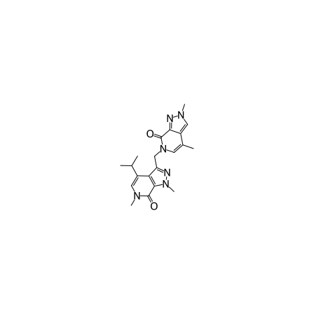 Cc1cn(Cc2nn(C)c3c(=O)n(C)cc(C(C)C)c23)c(=O)c2nn(C)cc12